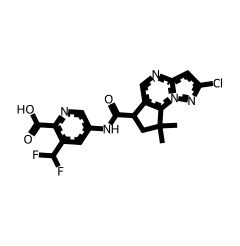 CC1(C)CC(C(=O)Nc2cnc(C(=O)O)c(C(F)F)c2)c2cnc3cc(Cl)nn3c21